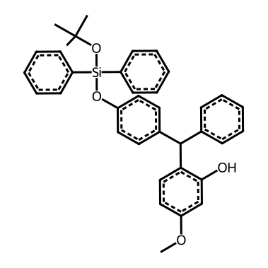 COc1ccc(C(c2ccccc2)c2ccc(O[Si](OC(C)(C)C)(c3ccccc3)c3ccccc3)cc2)c(O)c1